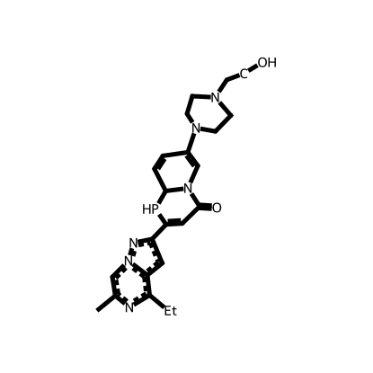 CCc1nc(C)cn2nc(C3=CC(=O)N4C=C(N5CCN(CCO)CC5)C=CC4P3)cc12